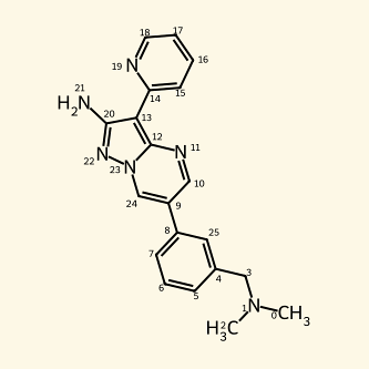 CN(C)Cc1cccc(-c2cnc3c(-c4ccccn4)c(N)nn3c2)c1